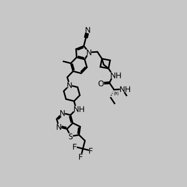 CC[C@@H](NC)C(=O)NC12CC(Cn3c(C#N)cc4c(C)c(CN5CCC(Nc6ncnc7sc(CC(F)(F)F)cc67)CC5)ccc43)(C1)C2